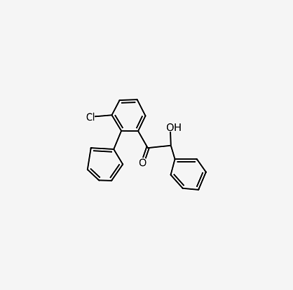 O=C(c1cccc(Cl)c1-c1ccccc1)C(O)c1ccccc1